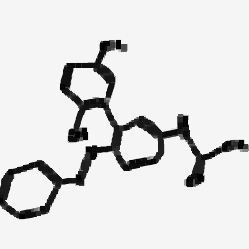 CC(=O)Nc1ccc(N=Nc2ccccc2)c(-c2cc(C)ccc2O)c1